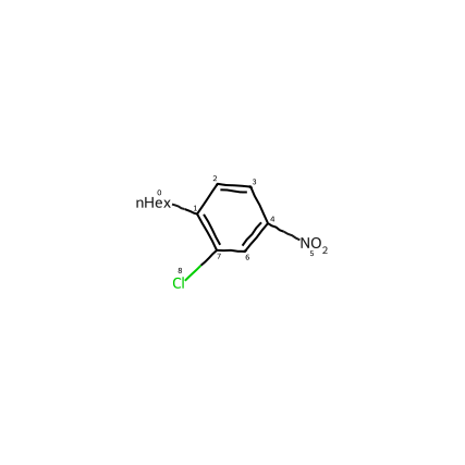 CCCCCCc1ccc([N+](=O)[O-])cc1Cl